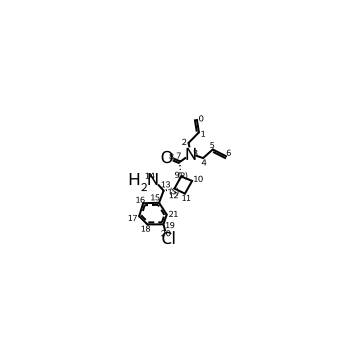 C=CCN(CC=C)C(=O)[C@@H]1CC[C@@H]1C(N)c1cccc(Cl)c1